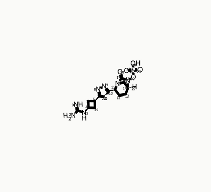 N=C(N)N[C@H]1C[C@@H](c2nnc([C@@H]3CC[C@H]4CN3C(=O)N4OS(=O)(=O)O)s2)C1